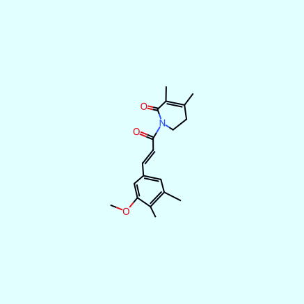 COc1cc(/C=C/C(=O)N2CCC(C)=C(C)C2=O)cc(C)c1C